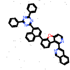 c1ccc(-c2nc(-c3ccccc3)nc(-c3ccc(-c4cccc5c4oc4ccnc(-c6cc7ccccc7cn6)c45)c4ccccc34)n2)cc1